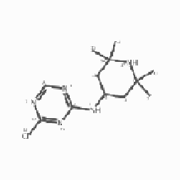 CC1(C)CC(Nc2ncnc(Cl)n2)CC(C)(C)N1